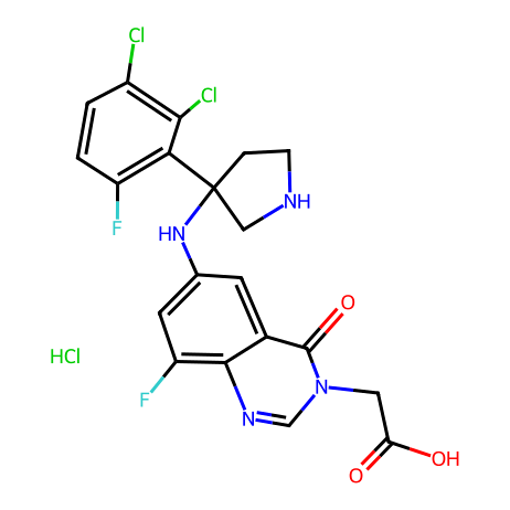 Cl.O=C(O)Cn1cnc2c(F)cc(NC3(c4c(F)ccc(Cl)c4Cl)CCNC3)cc2c1=O